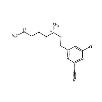 CNCCC[C@H](C)CCc1cc(Cl)nc(C#N)n1